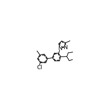 CCC(CC)c1ccc(-c2cc(C)cc(Cl)c2)cc1-n1ccc(C)n1